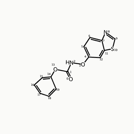 O=C(NOc1ccc2ncsc2c1)Oc1ccccc1